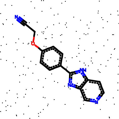 N#CCOc1ccc(-c2nc3cnccc3[nH]2)cc1